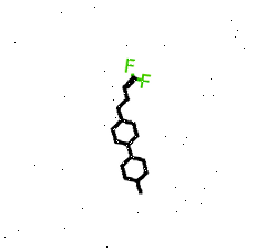 CC1CCC(C2CCC(CCC=C(F)F)CC2)CC1